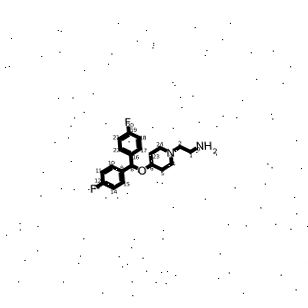 NCCN1CCC(OC(c2ccc(F)cc2)c2ccc(F)cc2)CC1